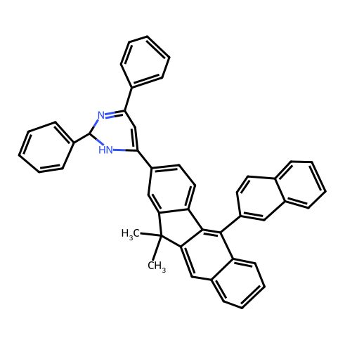 CC1(C)c2cc(C3=CC(c4ccccc4)=NC(c4ccccc4)N3)ccc2-c2c1cc1ccccc1c2-c1ccc2ccccc2c1